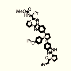 COC(=O)N[C@H](C(=O)N1CCC[C@H]1c1nc2cc([C@H]3CC[C@H](c4ccc5nc([C@@H]6CCCN6C(=O)[CH]C(C)C)[nH]c5c4)N3c3ccc(OC(C)C)cc3)ccc2[nH]1)C(C)C